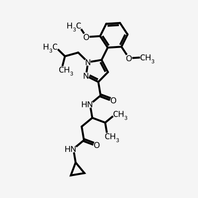 COc1cccc(OC)c1-c1cc(C(=O)NC(CC(=O)NC2CC2)C(C)C)nn1CC(C)C